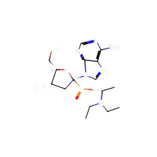 CCN(CC)CC.Nc1ncnc2c1ncn2[C@@]1([PH](=O)O)C[C@H](O)[C@@H](CO)O1